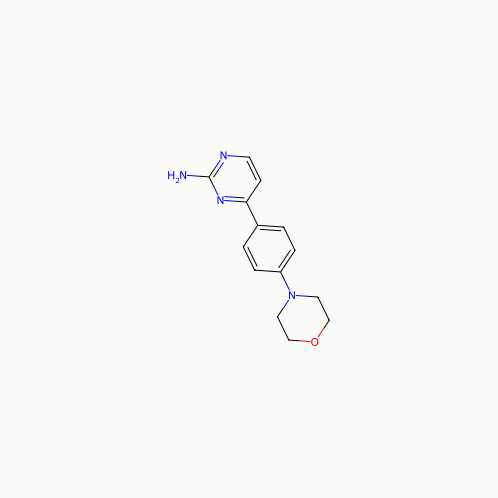 Nc1nccc(-c2ccc(N3CCOCC3)cc2)n1